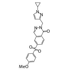 COc1ccc(S(=O)(=O)c2ccc3c(=O)n(Cc4ccn(C5CC5)n4)ncc3c2)cc1